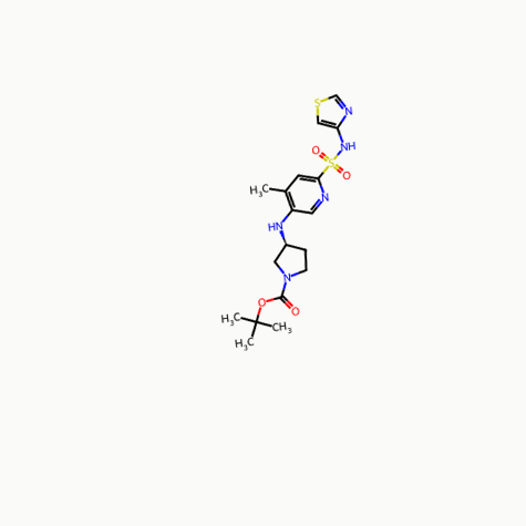 Cc1cc(S(=O)(=O)Nc2cscn2)ncc1N[C@H]1CCN(C(=O)OC(C)(C)C)C1